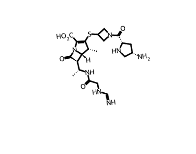 C[C@@H](NC(=O)CNC=N)[C@H]1C(=O)N2C(C(=O)O)=C(SC3CN(C(=O)[C@@H]4C[C@H](N)CN4)C3)[C@H](C)[C@H]12